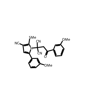 COc1cccc(C(=O)CC(C#N)(C#N)n2c(-c3cccc(OC)c3)cc(C#N)c2SC)c1